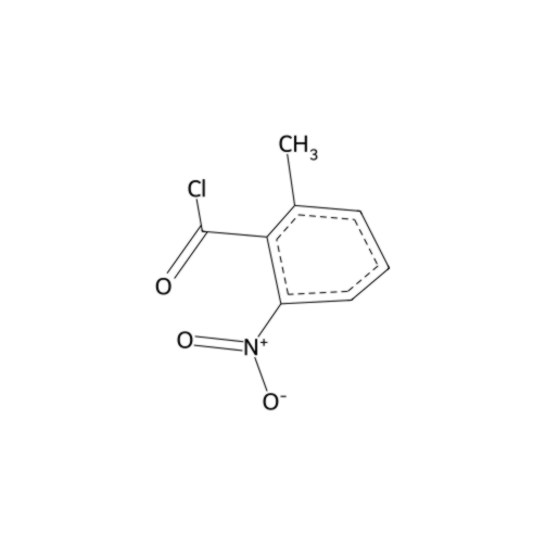 Cc1cccc([N+](=O)[O-])c1C(=O)Cl